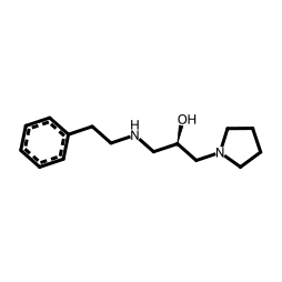 O[C@H](CNCCc1ccccc1)CN1CCCC1